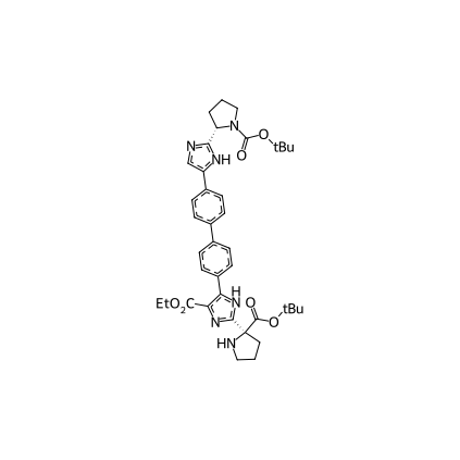 CCOC(=O)c1nc([C@]2(C(=O)OC(C)(C)C)CCCN2)[nH]c1-c1ccc(-c2ccc(-c3cnc([C@@H]4CCCN4C(=O)OC(C)(C)C)[nH]3)cc2)cc1